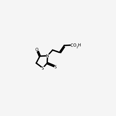 O=C(O)C=CCN1C(=O)CSC1=S